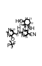 CC(F)(F)COc1ncncc1CNc1ncc(C#N)c(N[C@H]2CCC[C@H](O)C2(C)C)n1